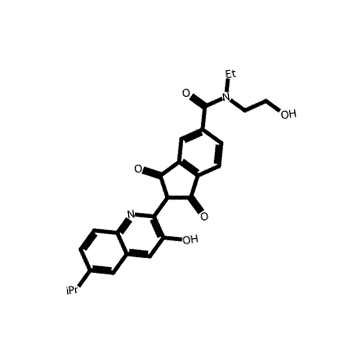 CCN(CCO)C(=O)c1ccc2c(c1)C(=O)C(c1nc3ccc(C(C)C)cc3cc1O)C2=O